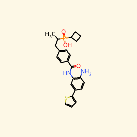 CC(Cc1ccc(C(=O)Nc2cc(-c3cccs3)ccc2N)cc1)P(=O)(O)C1CCC1